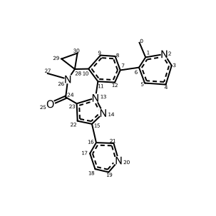 Cc1ncccc1-c1ccc2c(c1)-n1nc(-c3cccnc3)cc1C(=O)N(C)C21CC1